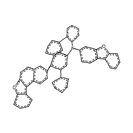 c1ccc(-c2cc(N(c3ccc4c(c3)oc3ccccc34)c3ccccc3-c3ccccc3)ccc2-c2ccc3c(ccc4oc5ccccc5c43)c2)cc1